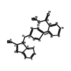 CCC(C)c1nc2ccccc2n1Cc1ccc(-c2ccccc2C(=O)OC(C)(C)C)cc1